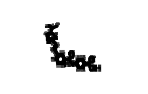 CC(C)c1csc(C=Cc2cccc(C(=O)Nc3ccc(C(=O)O)cc3)c2)n1